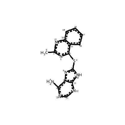 Cc1nc(Sc2nc3c(N)ncnc3[nH]2)c2ccccc2n1